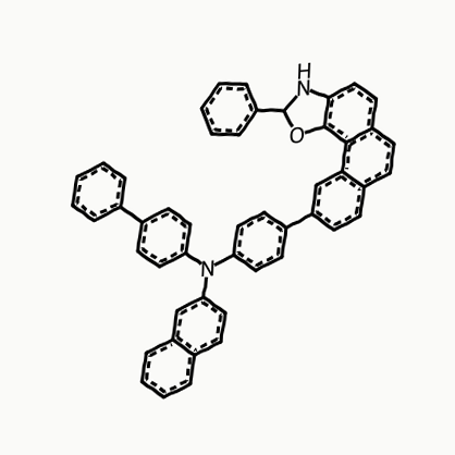 c1ccc(-c2ccc(N(c3ccc(-c4ccc5ccc6ccc7c(c6c5c4)OC(c4ccccc4)N7)cc3)c3ccc4ccccc4c3)cc2)cc1